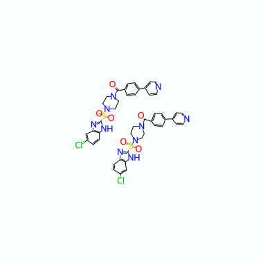 O=C(c1ccc(-c2ccncc2)cc1)N1CCN(S(=O)(=O)c2nc3cc(Cl)ccc3[nH]2)CC1.O=C(c1ccc(-c2ccncc2)cc1)N1CCN(S(=O)(=O)c2nc3ccc(Cl)cc3[nH]2)CC1